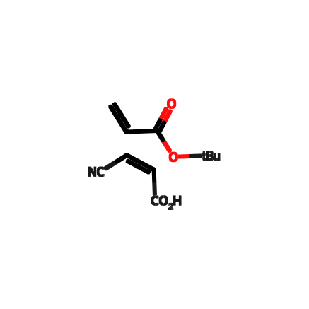 C=CC(=O)OC(C)(C)C.N#C/C=C\C(=O)O